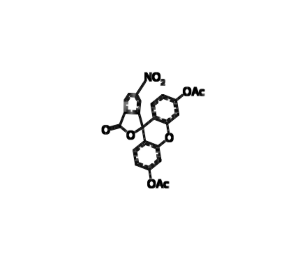 CC(=O)Oc1ccc2c(c1)Oc1cc(OC(C)=O)ccc1C21OC(=O)c2ccc([N+](=O)[O-])cc21